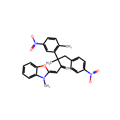 C=C(/C=C1\Oc2ccccc2N1C)C(C)(Cc1ccc([N+](=O)[O-])cc1)c1cc([N+](=O)[O-])ccc1C